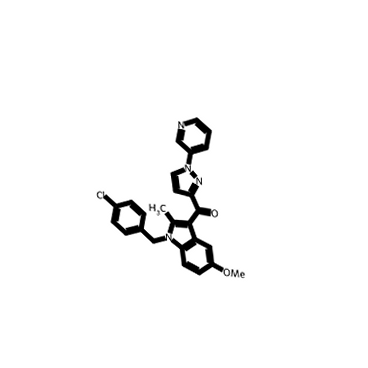 COc1ccc2c(c1)c(C(=O)c1ccn(-c3cccnc3)n1)c(C)n2Cc1ccc(Cl)cc1